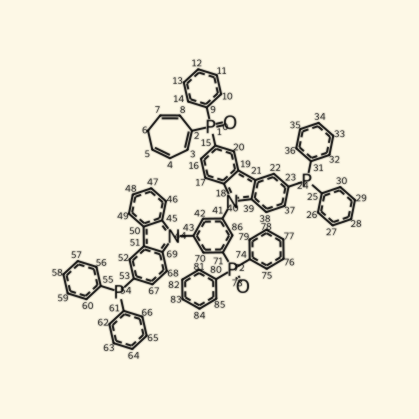 O=P(C1=CC=CCC=C1)(c1ccccc1)c1ccc2c(c1)c1cc(P(c3ccccc3)c3ccccc3)ccc1n2-c1cc(-n2c3ccccc3c3cc(P(c4ccccc4)c4ccccc4)ccc32)cc(P(=O)(c2ccccc2)c2ccccc2)c1